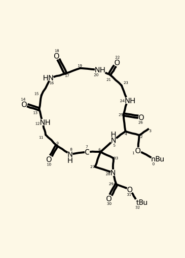 CCCCOC(C)C1NC2(CNC(=O)CNC(=O)CNC(=O)CNC(=O)CNC1=O)CN(C(=O)OC(C)(C)C)C2